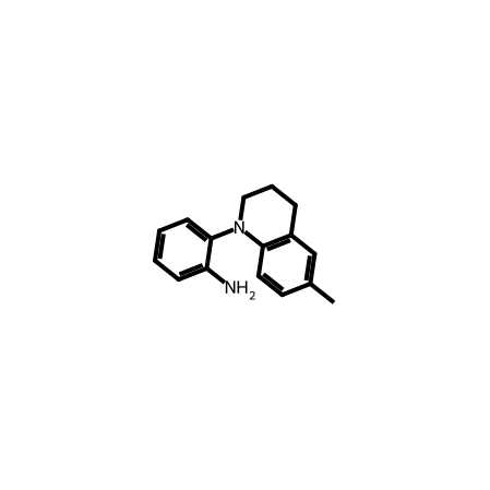 Cc1ccc2c(c1)CCCN2c1ccccc1N